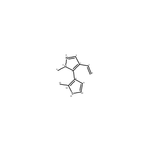 C=Cc1cnn(C)c1-c1ccsc1C